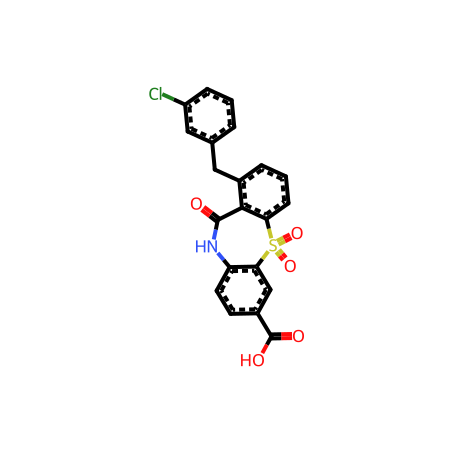 O=C(O)c1ccc2c(c1)S(=O)(=O)c1cccc(Cc3cccc(Cl)c3)c1C(=O)N2